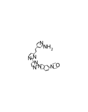 Nc1cc(/C=C/c2ccnc(-c3ccnc(N4Cc5ccc(N6CCOCC6)cc5C4)n3)n2)ccn1